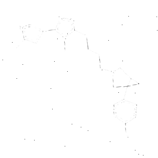 Cc1cc(-c2nnc(SCCCN3CC4CC4(c4ccc(Br)cc4)C3)n2C)on1